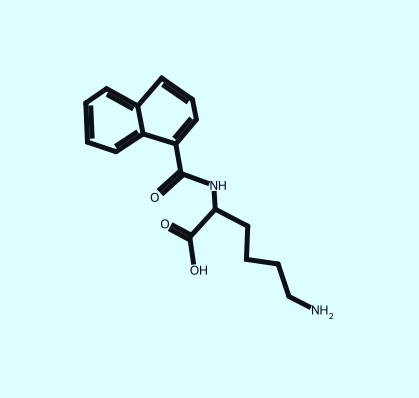 NCCCCC(NC(=O)c1cccc2ccccc12)C(=O)O